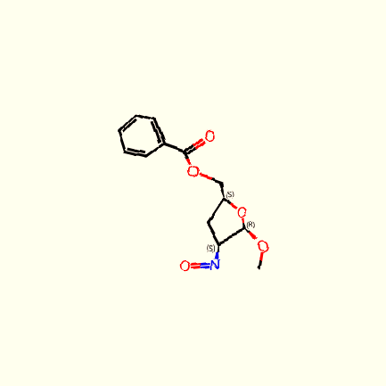 CO[C@@H]1O[C@H](COC(=O)c2ccccc2)C[C@@H]1N=O